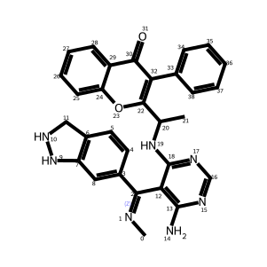 C/N=C(/c1ccc2c(c1)NNC2)c1c(N)ncnc1NC(C)c1oc2ccccc2c(=O)c1-c1ccccc1